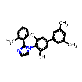 Cc1cc(C)cc(-c2cc(C)c(-n3ccnc3-c3ccccc3C)c(C)c2)c1